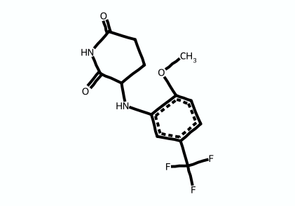 COc1ccc(C(F)(F)F)cc1NC1CCC(=O)NC1=O